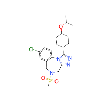 CC(C)O[C@H]1CC[C@H](c2nnc3n2-c2ccc(Cl)cc2CN(S(C)(=O)=O)C3)CC1